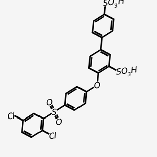 O=S(=O)(O)c1ccc(-c2ccc(Oc3ccc(S(=O)(=O)c4cc(Cl)ccc4Cl)cc3)c(S(=O)(=O)O)c2)cc1